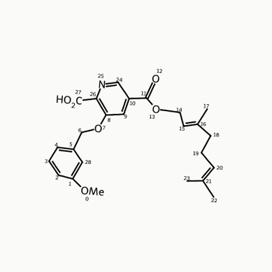 COc1cccc(COc2cc(C(=O)OC/C=C(\C)CCC=C(C)C)cnc2C(=O)O)c1